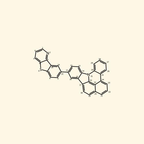 c1cnc2c(c1)sc1ccc(-c3ccc4c(c3)c3ccc5cccc6c7ccccc7n4c3c56)cc12